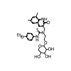 CCOc1ccc(NC(=S)N(CCOC2OCC(O)C(O)C2O)Cc2cc3cc(C)cc(C)c3[nH]c2=O)cc1